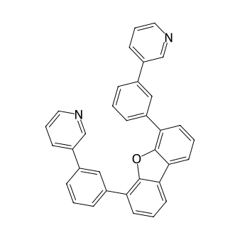 c1cncc(-c2cccc(-c3cccc4c3oc3c(-c5cccc(-c6cccnc6)c5)cccc34)c2)c1